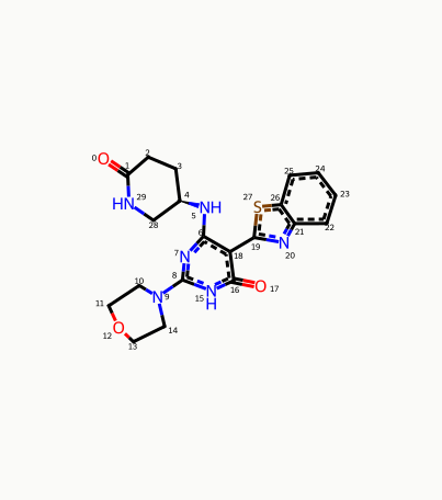 O=C1CC[C@@H](Nc2nc(N3CCOCC3)[nH]c(=O)c2-c2nc3ccccc3s2)CN1